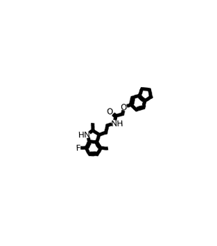 Cc1ccc(F)c2c1C(CCNC(=O)COc1ccc3c(c1)CCC3)C(C)N2